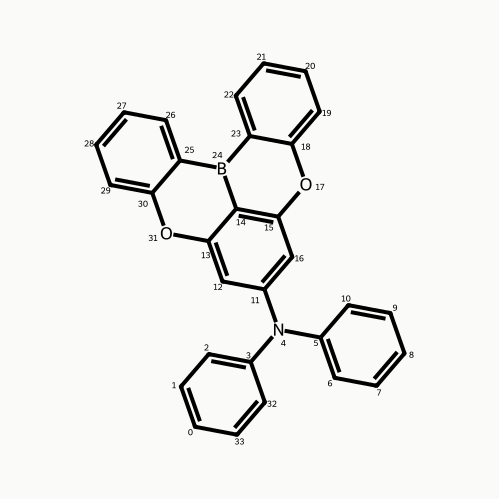 c1ccc(N(c2ccccc2)c2cc3c4c(c2)Oc2ccccc2B4c2ccccc2O3)cc1